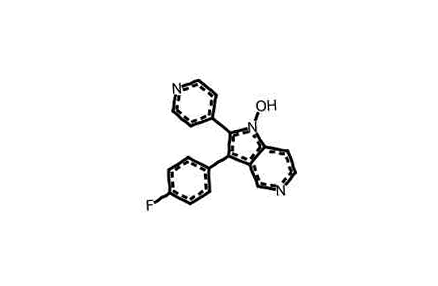 On1c(-c2ccncc2)c(-c2ccc(F)cc2)c2cnccc21